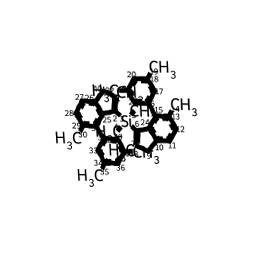 CC1=C([Si](C)(C)C2=C(C)[CH]c3ccc(C)c(-c4cc(C)cc(C)c4)c32)c2c(ccc(C)c2-c2cc(C)cc(C)c2)[CH]1